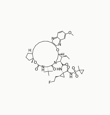 CC[C@@H]1[C@@H]2CN(C(=O)[C@H](C(C)(C)C)NC(=O)O[C@]3(C)CCC[C@H]3CCCCCc3nc4ccc(OC)cc4nc3O2)[C@@H]1C(=O)N[C@]1(C(=O)NS(=O)(=O)C2(C)CC2)C[C@H]1CCF